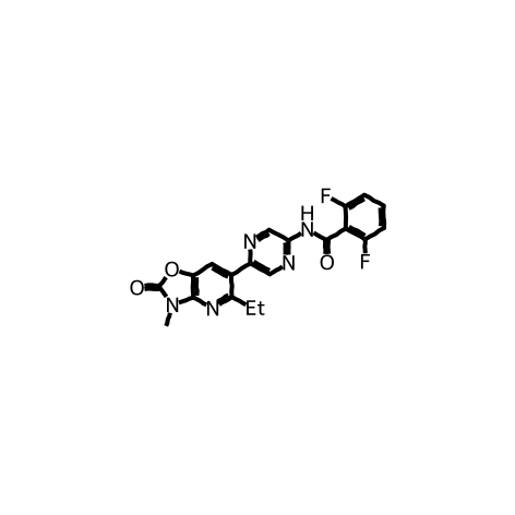 CCc1nc2c(cc1-c1cnc(NC(=O)c3c(F)cccc3F)cn1)oc(=O)n2C